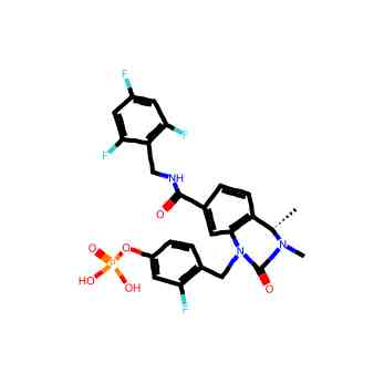 C[C@H]1c2ccc(C(=O)NCc3c(F)cc(F)cc3F)cc2N(Cc2ccc(OP(=O)(O)O)cc2F)C(=O)N1C